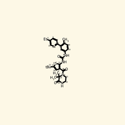 CCc1ccc(-c2cc(NC(=O)Nc3sc(C(C)(C)C)cc3C(=O)N3CCNC(=O)C3(C)C)ccc2C)nc1